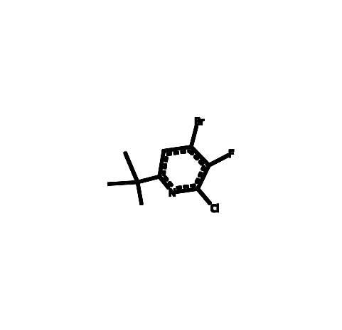 CC(C)(C)c1cc(Br)c(F)c(Cl)n1